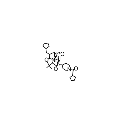 CN(C(=O)C(NC(=O)C(CC1CCCC1)CN(O)C=O)C(C)(C)C)C1CCN(C(=O)C2CCCC2)CC1